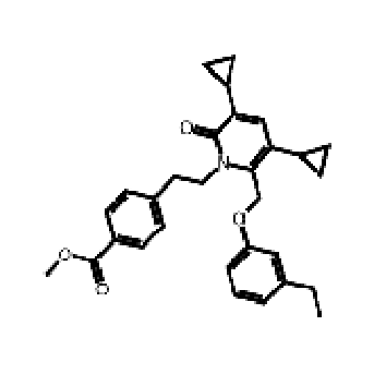 CCc1cccc(OCc2c(C3CC3)cc(C3CC3)c(=O)n2CCc2ccc(C(=O)OC)cc2)c1